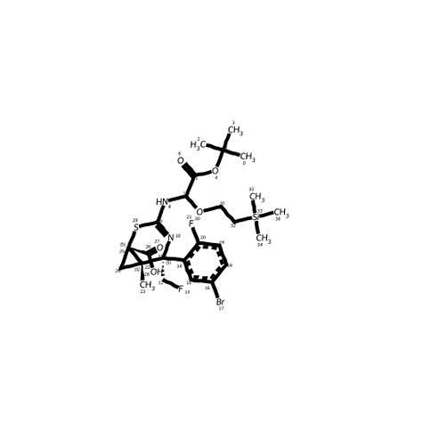 CC(C)(C)OC(=O)C(NC1=N[C@@](CF)(c2cc(Br)ccc2F)[C@]2(C)C[C@]2(C(=O)O)S1)OCC[Si](C)(C)C